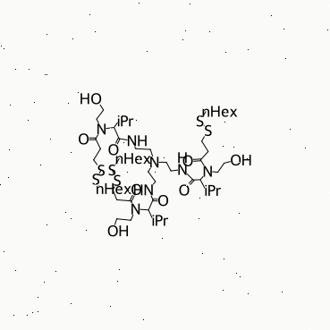 CCCCCCSSCCC(=O)N(CCO)C(C(=O)NCCN(CCNC(=O)C(C(C)C)N(CCO)C(=O)CCSSCCCCCC)CCNC(=O)C(C(C)C)N(CCO)C(=O)CCSSCCCCCC)C(C)C